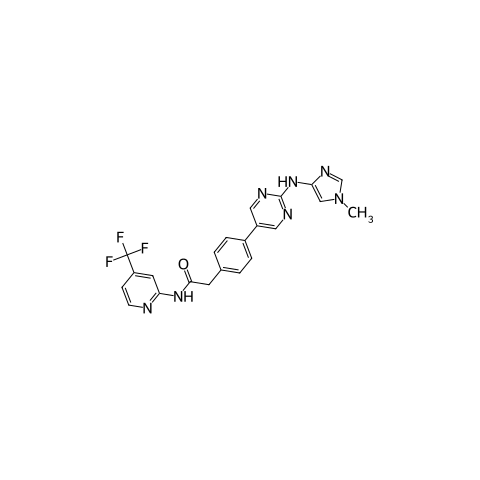 Cn1cnc(Nc2ncc(-c3ccc(CC(=O)Nc4cc(C(F)(F)F)ccn4)cc3)cn2)c1